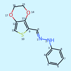 C(=NNc1ccccc1)c1scc2c1OCCO2